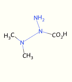 CN(C)N(N)C(=O)O